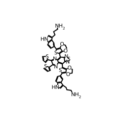 NCCCc1c[nH]c2ccc(-c3sc(-c4c5nsnc5c(-c5sc(-c6ccc7[nH]cc(CCCN)c7c6)c6c5OCCO6)c5nc(-c6cccs6)c(-c6cccs6)nc45)c4c3OCCO4)cc12